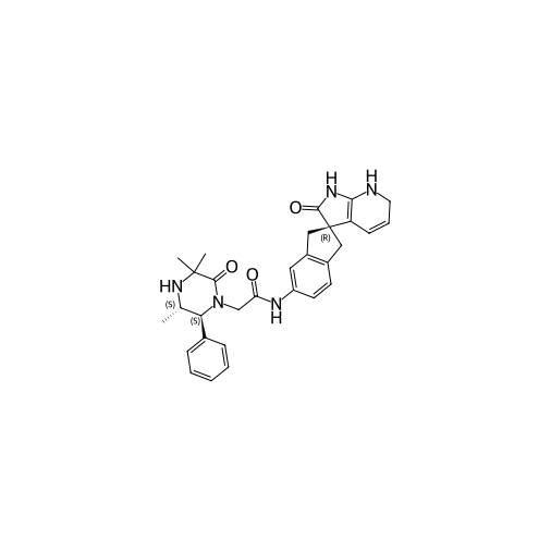 C[C@@H]1NC(C)(C)C(=O)N(CC(=O)Nc2ccc3c(c2)C[C@@]2(C3)C(=O)NC3=C2C=CCN3)[C@H]1c1ccccc1